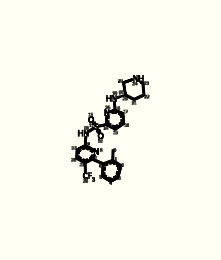 Cc1ccccc1-c1nc(NS(=O)(=O)c2cccc(N[C@@H]3CCCNC3)n2)ccc1C(F)(F)F